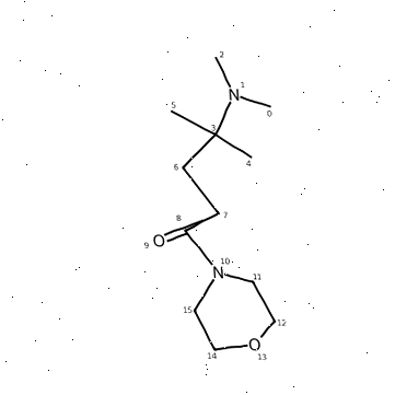 CN(C)C(C)(C)CCC(=O)N1CCOCC1